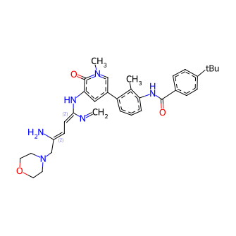 C=N/C(=C\C=C(/N)CN1CCOCC1)Nc1cc(-c2cccc(NC(=O)c3ccc(C(C)(C)C)cc3)c2C)cn(C)c1=O